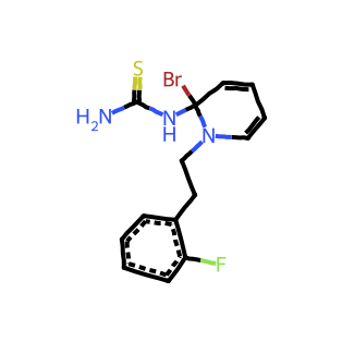 NC(=S)NC1(Br)C=CC=CN1CCc1ccccc1F